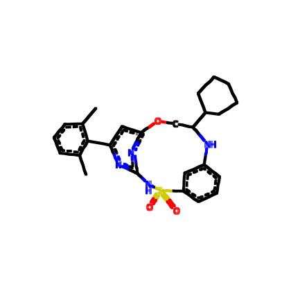 Cc1cccc(C)c1-c1cc2nc(n1)NS(=O)(=O)c1cccc(c1)NC(C1CCCCC1)CO2